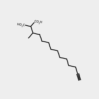 C#CCCCCCCCCCC(C)C(C(=O)O)C(=O)O